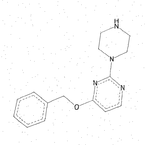 c1ccc(COc2ccnc(N3CCNCC3)n2)cc1